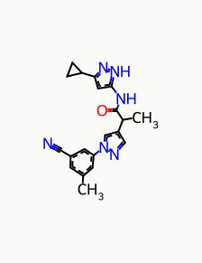 Cc1cc(C#N)cc(-n2cc(C(C)C(=O)Nc3cc(C4CC4)n[nH]3)cn2)c1